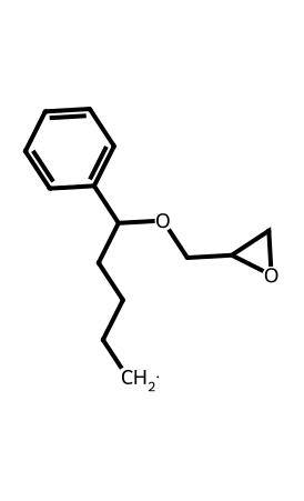 [CH2]CCCC(OCC1CO1)c1ccccc1